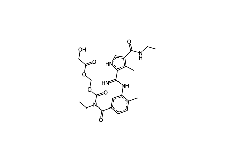 CCNC(=O)c1c[nH]c(C(=N)Nc2cc(C(=O)N(CC)C(=O)OCOC(=O)CO)ccc2C)c1C